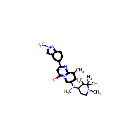 Cc1cc(N(C)C2CCN(C)C(C)(C)C2C)cn2c(=O)cc(-c3ccc4nn(C)cc4c3)nc12